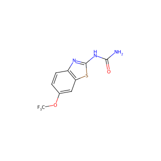 NC(=O)Nc1nc2ccc(OC(F)(F)F)cc2s1